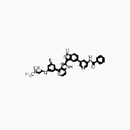 CN(C)CCOc1cc(F)cc(-c2nccc3[nH]c(-c4n[nH]c5ccc(-c6cncc(NC(=O)c7ccccc7)c6)cc45)nc23)c1